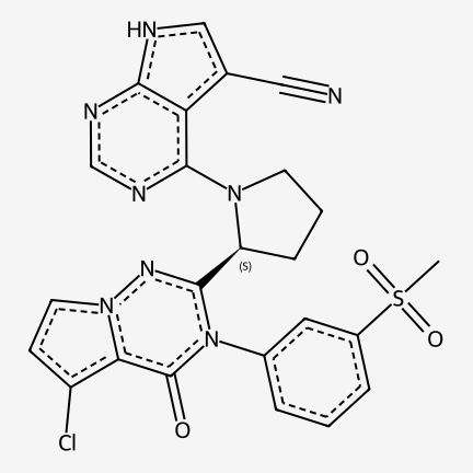 CS(=O)(=O)c1cccc(-n2c([C@@H]3CCCN3c3ncnc4[nH]cc(C#N)c34)nn3ccc(Cl)c3c2=O)c1